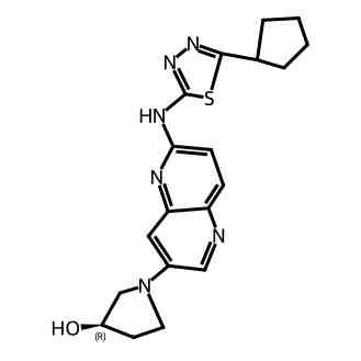 O[C@@H]1CCN(c2cnc3ccc(Nc4nnc(C5CCCC5)s4)nc3c2)C1